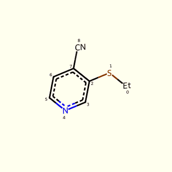 CCSc1cnccc1C#N